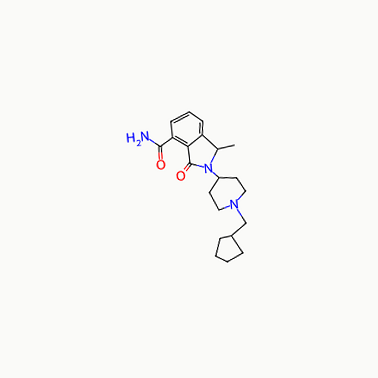 CC1c2cccc(C(N)=O)c2C(=O)N1C1CCN(CC2CCCC2)CC1